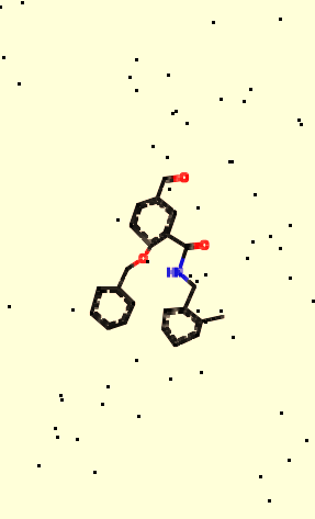 Cc1ccccc1CNC(=O)c1cc(C=O)ccc1OCc1ccccc1